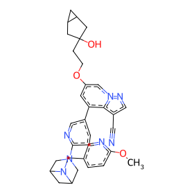 COc1ccc(CN2C3CC2CN(c2ccc(-c4cc(OCCC5(O)CC6CC6C5)cn5ncc(C#N)c45)cn2)C3)cn1